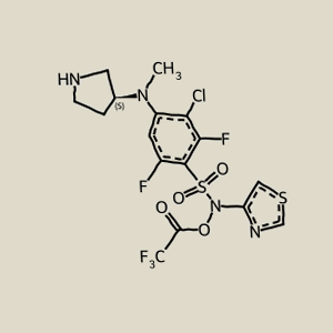 CN(c1cc(F)c(S(=O)(=O)N(OC(=O)C(F)(F)F)c2cscn2)c(F)c1Cl)[C@H]1CCNC1